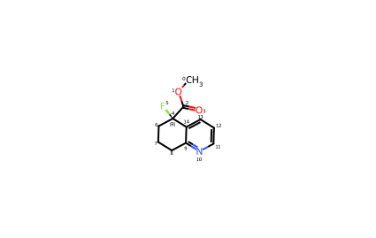 COC(=O)[C@@]1(F)CCCc2ncccc21